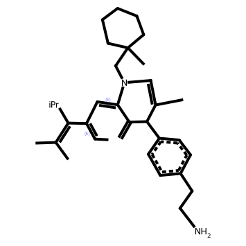 C=C1/C(=C\C(=C/C)C(=C(C)C)C(C)C)N(CC2(C)CCCCC2)C=C(C)C1c1ccc(CCN)cc1